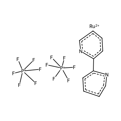 F[P-](F)(F)(F)(F)F.F[P-](F)(F)(F)(F)F.[Ru+2].c1ccc(-c2ccccn2)nc1